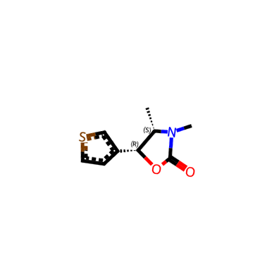 C[C@H]1[C@@H](c2ccsc2)OC(=O)N1C